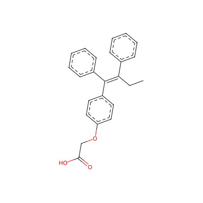 CCC(=C(c1ccccc1)c1ccc(OCC(=O)O)cc1)c1ccccc1